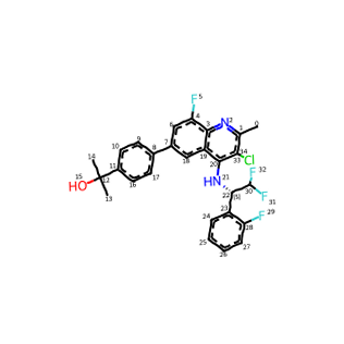 Cc1nc2c(F)cc(-c3ccc(C(C)(C)O)cc3)cc2c(N[C@@H](c2ccccc2F)C(F)F)c1Cl